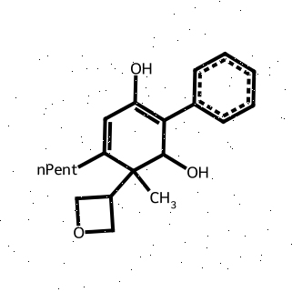 CCCCCC1=CC(O)=C(c2ccccc2)C(O)C1(C)C1COC1